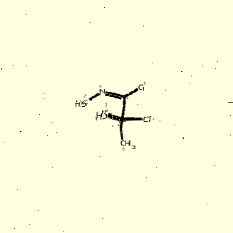 CC(S)(Cl)/C(Cl)=N\S